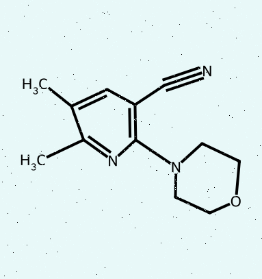 Cc1cc(C#N)c(N2CCOCC2)nc1C